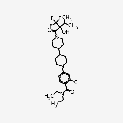 CCN(CC)C(=O)c1ccc(N2CCC(C3CCN(C(=O)C(O)(C(C)C)C(F)(F)F)CC3)CC2)cc1Cl